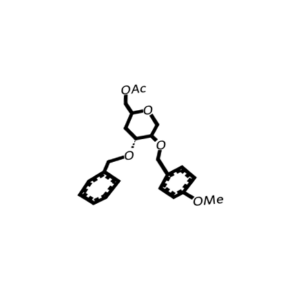 COc1ccc(COC2COC(COC(C)=O)C[C@H]2OCc2ccccc2)cc1